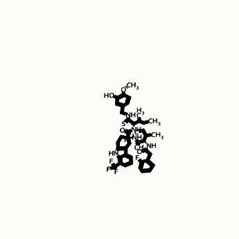 C=C(N[C@]1(C(=O)N[C@H](C(=S)NCc2ccc(OC)c(O)c2)C(C)CC)CCc2[nH]c3c(C(F)(F)F)cccc3c2C1)[C@@H](NC(=O)Cc1ccccc1F)C(C)CC